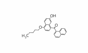 CCCCCOc1ccc(C(=O)c2cccc3ccccc23)c2cc(O)ccc12